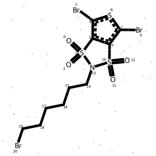 O=S1(=O)c2c(Br)sc(Br)c2S(=O)(=O)N1CCCCCCBr